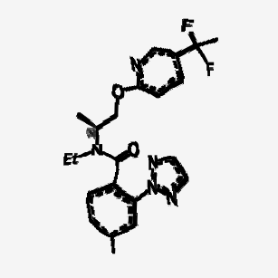 CCN(C(=O)c1ccc(C)cc1-n1nccn1)[C@@H](C)COc1ccc(C(C)(F)F)cn1